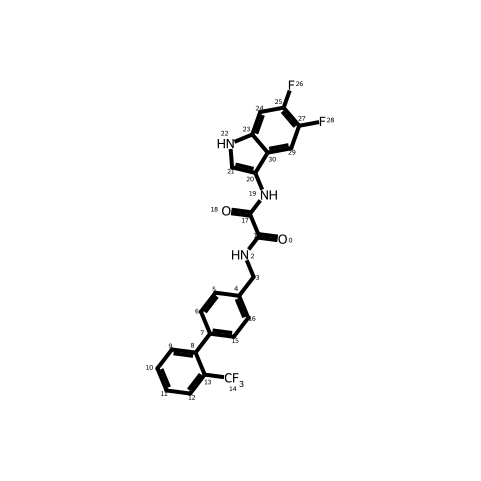 O=C(NCc1ccc(-c2ccccc2C(F)(F)F)cc1)C(=O)Nc1c[nH]c2cc(F)c(F)cc12